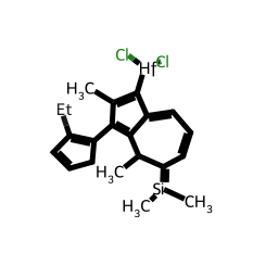 CCC1=C(C2=C3C(=CC=CC(=[Si](C)C)C3C)[C]([Hf]([Cl])[Cl])=C2C)CC=C1